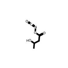 CC(O)CC(=O)ON=C=O